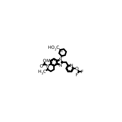 COC(=O)N1c2ccc3c(nc(Cc4cccc(OC(F)F)n4)n3[C@@H]3CCC[C@@H](C(=O)O)C3)c2CCC1C